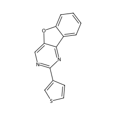 c1ccc2c(c1)oc1cnc(-c3ccsc3)nc12